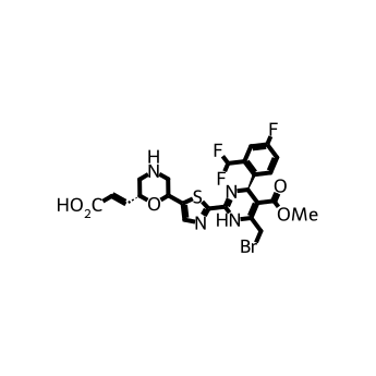 COC(=O)C1=C(CBr)NC(c2ncc(C3CNC[C@@H](/C=C/C(=O)O)O3)s2)=N[C@H]1c1ccc(F)cc1C(F)F